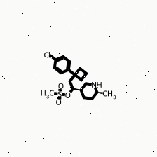 C[C@H]1CC[C@@H](C(CC2(c3ccc(Cl)cc3)CCC2)OS(C)(=O)=O)CN1